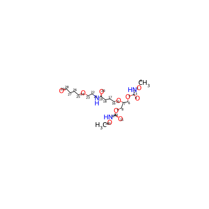 CONC(=O)OCC(COC(=O)NOC)OCCCC(=O)NCCOCCCC=O